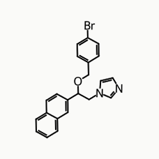 Brc1ccc(COC(Cn2ccnc2)c2ccc3ccccc3c2)cc1